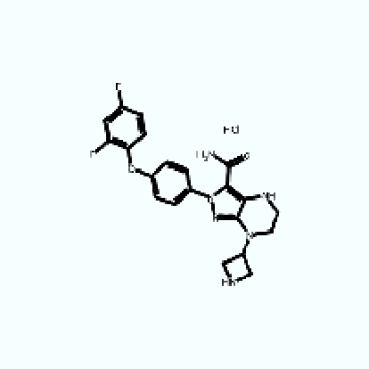 Cl.NC(=O)c1c2c(nn1-c1ccc(Oc3ccc(F)cc3F)cc1)N(C1CNC1)CCN2